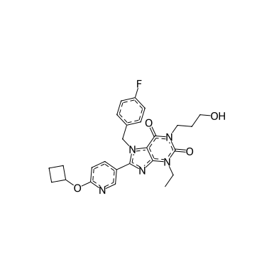 CCn1c(=O)n(CCCO)c(=O)c2c1nc(-c1ccc(OC3CCC3)nc1)n2Cc1ccc(F)cc1